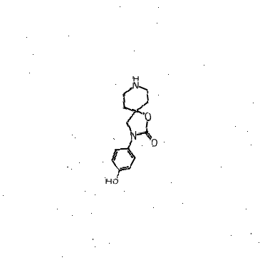 O=C1OC2(CCNCC2)CN1c1ccc(O)cc1